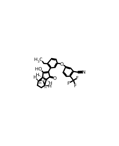 CCc1ccc(Oc2ccc(C(F)(F)F)c(C#N)c2)cc1C1=C(O)[C@H]2[C@@H](C1=O)[C@@H]1CC[C@H]2O1